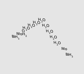 O.O.O.O.O.O.O.O.O.[BiH3].[BiH3].[Mo].[Mo]